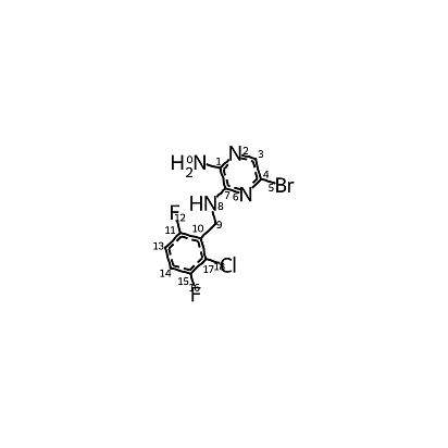 Nc1ncc(Br)nc1NCc1c(F)ccc(F)c1Cl